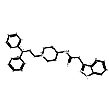 O=C(Cc1noc2ccccc12)NC1CCN(CCC(c2ccccc2)c2ccccc2)CC1